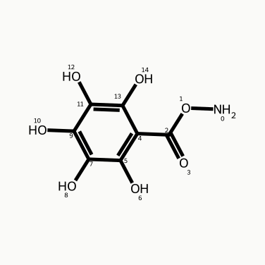 NOC(=O)c1c(O)c(O)c(O)c(O)c1O